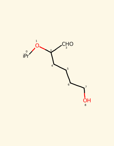 CC(C)OC(C=O)CCCCO